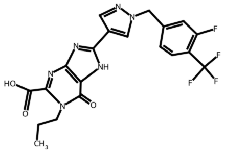 CCCn1c(C(=O)O)nc2nc(-c3cnn(Cc4ccc(C(F)(F)F)c(F)c4)c3)[nH]c2c1=O